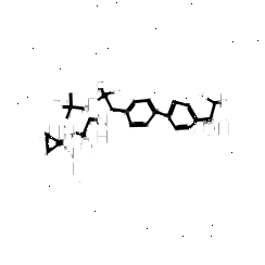 CC(C)(F)C[C@H](N[C@@H](c1ccc(-c2ccc([C@](C)(O)C(F)F)cc2)cc1)C(F)(F)F)C(=O)NC1(N)CC1